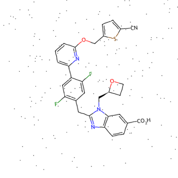 N#Cc1ccc(COc2cccc(-c3cc(F)c(Cc4nc5ccc(C(=O)O)cc5n4C[C@@H]4CCO4)cc3F)n2)s1